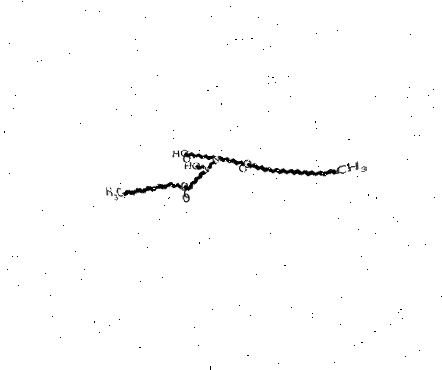 CCCCCCCCCCCCCCCCCCCCCCCCOC(=O)CCCCCCCN(CCCCCCCC(=O)O)CCCN(CCO)CCCCCCCC(=C=O)OCCCCCCCCCCCCCC